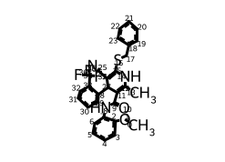 COc1ccccc1NC(=O)C1=C(C)NC(SCc2ccccc2)=C(C#N)C1c1ccccc1C(F)(F)F